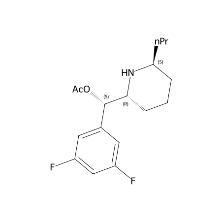 CCC[C@H]1CCC[C@H]([C@@H](OC(C)=O)c2cc(F)cc(F)c2)N1